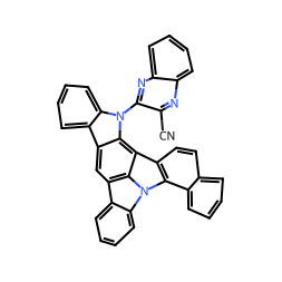 N#Cc1nc2ccccc2nc1-n1c2ccccc2c2cc3c4ccccc4n4c5c6ccccc6ccc5c(c21)c34